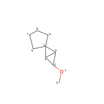 COC1C2C1C21CCCC1